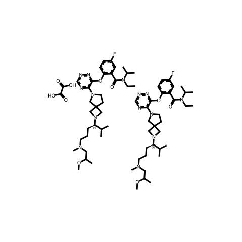 CCN(C(=O)c1cc(F)ccc1Oc1nncnc1N1CCC2(C1)CN([C@H](CCCN(C)CC(C)OC)C(C)C)C2)C(C)C.CCN(C(=O)c1cc(F)ccc1Oc1nncnc1N1CCC2(C1)CN([C@H](CCCN(C)CC(C)OC)C(C)C)C2)C(C)C.O=C(O)C(=O)O